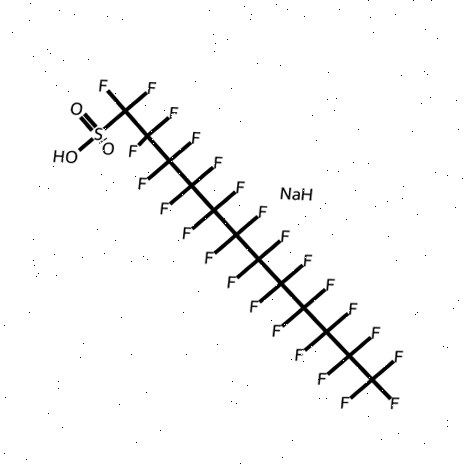 O=S(=O)(O)C(F)(F)C(F)(F)C(F)(F)C(F)(F)C(F)(F)C(F)(F)C(F)(F)C(F)(F)C(F)(F)C(F)(F)C(F)(F)C(F)(F)F.[NaH]